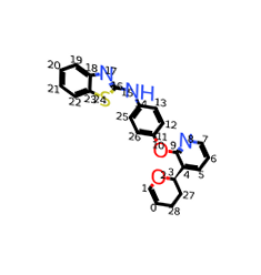 C1=CO[C@@H](c2cccnc2Oc2ccc(Nc3nc4ccccc4s3)cc2)CC1